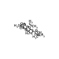 CC(C)Oc1cc(C(=O)OC(C)(C)C)ccc1NC(=O)CC(=O)C(C)(C)C